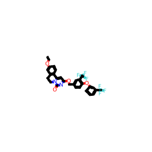 CCOc1ccc2c(c1)CCn1c-2cc(OCc2ccc(Oc3cccc(C(F)(F)F)c3)c(C(F)(F)F)c2)nc1=O